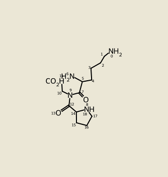 NCCCCC(N)C(=O)N(CC(=O)O)C(=O)C1CCCN1